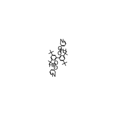 CC(C)(C)c1cc(-c2cc(C(C)(C)C)cc(C(C)(C)C)c2OPOc2cccnc2)c(OPOc2cccnc2)c(C(C)(C)C)c1